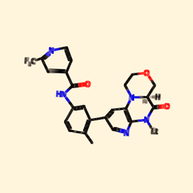 CCN1C(=O)[C@@H]2COCCN2c2cc(-c3cc(NC(=O)c4ccnc(C(F)(F)F)c4)ccc3C)cnc21